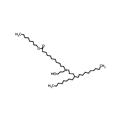 CCCCCCCCCCC(CCCCCCCC)CCCN(CCCO)CCCCCCCCCCC(=O)OCCCCCCCC